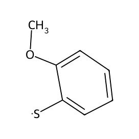 COc1ccccc1[S]